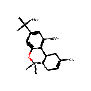 CCCCCCC(C)(C)c1cc(OC(C)=O)c2c(c1)OC(C)(C)C1CC=C(C#N)CC21